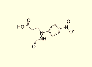 O=CNN(CCC(=O)O)c1ccc([N+](=O)[O-])cc1